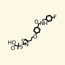 CC(C)(Sc1nc(CCOc2ccc(C(=O)NCc3ccc(F)cc3)cc2)cs1)C(=O)O